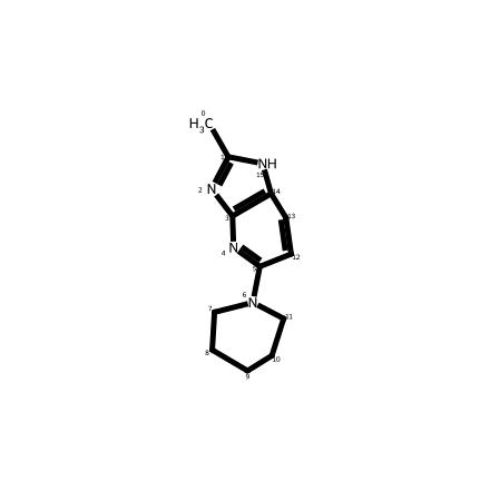 Cc1nc2nc(N3CCCCC3)ccc2[nH]1